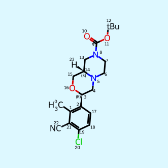 Cc1c([C@@H]2CN3CCN(C(=O)OC(C)(C)C)C[C@H]3CO2)ccc(Cl)c1C#N